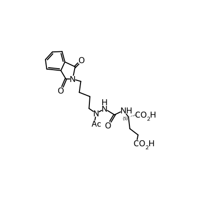 CC(=O)N(CCCCN1C(=O)c2ccccc2C1=O)NC(=O)N[C@@H](CCC(=O)O)C(=O)O